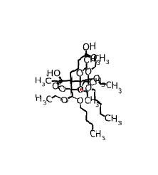 CCCCCOC(OCC)C(OCC)(OCC)C(CCCC(=O)O)(C(=O)O)C(OCC)(OCC)C(OCC)(OCC)OCCCCC